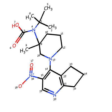 CC(C)(C)N(C(=O)O)C1(C)CCCN(c2c([N+](=O)[O-])cnc3c2CCC3)C1